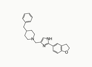 c1ccc(CC2CCN(Cc3c[nH]c(-c4ccc5c(c4)CCO5)n3)CC2)cc1